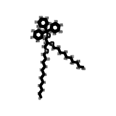 CCCCCCCCCCCCOCC(COC(c1ccccc1)(c1ccccc1)c1ccccc1)OCCCCCCCCCC